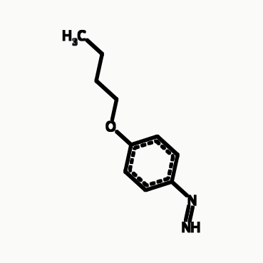 CCCCOc1ccc(N=N)cc1